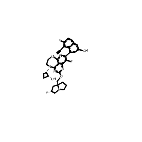 C#Cc1c(F)ccc2cc(O)cc(-c3nc4c5c(nc(OC[C@@]67CCCN6C[C@H](F)C7)nc5c3F)N([C@H]3CC[C@H]3O)CCO4)c12